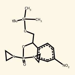 CC(C)(C)[Si](C)(C)OCC(OP(=O)(N1CC1)N1CC1)c1ccc([N+](=O)[O-])cc1